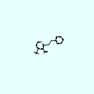 O=C(O)c1c(C(F)(F)F)ccnc1CCc1ccccc1